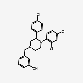 Oc1cccc(CN2CCN(c3ccc(Cl)cc3Cl)C(c3ccc(Cl)cc3)C2)c1